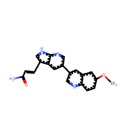 NC(=O)C=Cc1c[nH]c2ncc(-c3cnc4ccc(OC(F)(F)F)cc4c3)cc12